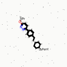 CCCCC[C@H]1CC[C@H](CCc2ccc(-c3ccc(OCCC)nn3)cc2)CC1